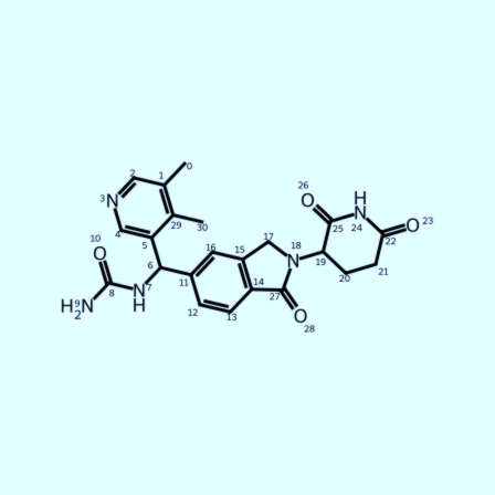 Cc1cncc(C(NC(N)=O)c2ccc3c(c2)CN(C2CCC(=O)NC2=O)C3=O)c1C